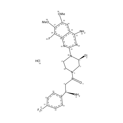 CC[C@H]1CN(C(=O)C[C@@H](N)c2ccc(C(F)(F)F)cc2)CCN1c1nc(N)c2cc(OC)c(OC)c(F)c2n1.Cl